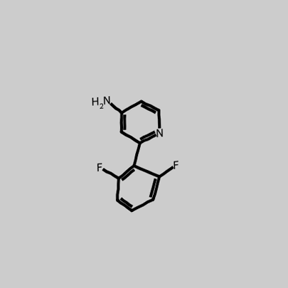 Nc1ccnc(-c2c(F)cccc2F)c1